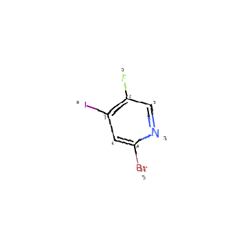 Fc1cnc(Br)cc1I